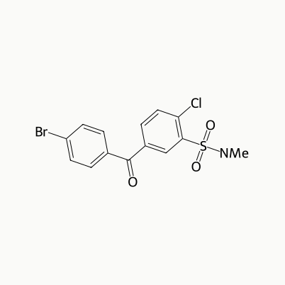 CNS(=O)(=O)c1cc(C(=O)c2ccc(Br)cc2)ccc1Cl